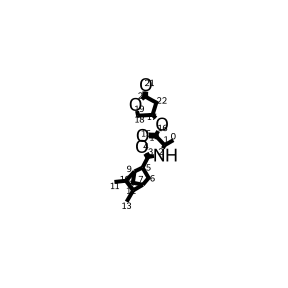 CC(NC(=O)C1CC2CC1C(C)C2C)C(=O)OC1COC(=O)C1